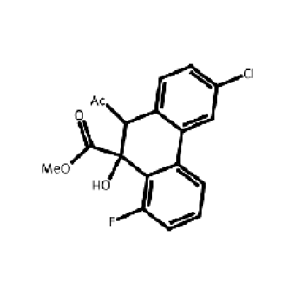 COC(=O)C1(O)c2c(F)cccc2-c2cc(Cl)ccc2C1C(C)=O